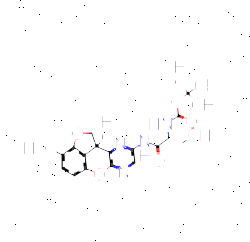 CC[C@@H](NC(=O)OC(C)(C)C)C(=O)Nc1cnc2c(n1)C1(C)COc3c(C)ccc(c31)O2